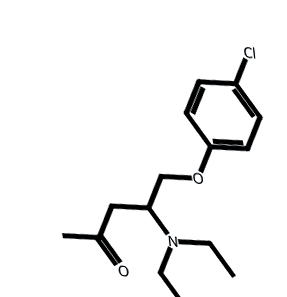 CCN(CC)C(COc1ccc(Cl)cc1)CC(C)=O